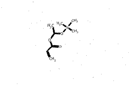 C=CC(=O)OC(C)O[Si](C)(C)C